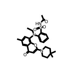 CCN(c1ccccc1S(=O)(=O)NC(C)=O)c1cc(C)cc2c(=O)cc(N3CCC(C)(C)CC3)oc12